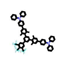 Cc1cc(-c2ccc(N(c3ccccc3)c3ccccc3)cc2)cc(C)c1-c1cc(-c2cc(C(F)(F)F)c(C(F)(F)F)c(C(F)(F)F)c2)cc(-c2c(C)cc(-c3ccc(N(c4ccccc4)c4ccccc4)cc3)cc2C)c1